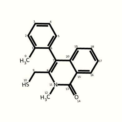 Cc1ccccc1-c1c(CS)n(C)c(=O)c2ccccc12